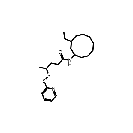 CCC1CCCCCCCC(NC(=O)CCC(C)SSc2ccccn2)C1